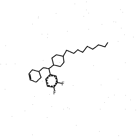 CCCCCCCCCC1CCC(C(CC2CC=CCC2)c2ccc(F)c(F)c2)CC1